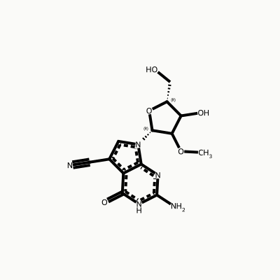 COC1C(O)[C@@H](CO)O[C@H]1n1cc(C#N)c2c(=O)[nH]c(N)nc21